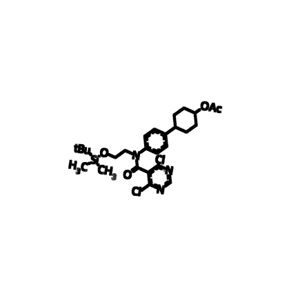 CC(=O)OC1CCC(c2ccc(N(CCO[Si](C)(C)C(C)(C)C)C(=O)c3c(Cl)ncnc3Cl)cc2)CC1